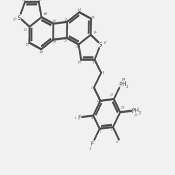 Cc1c(F)c(F)c(CCc2cc3c4c(ccc3s2)-c2c-4ccc3sccc23)c(P)c1P